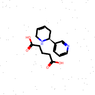 C1=CC[C@@H](c2cccnc2)NC1.O=C(O)CCCC(=O)O